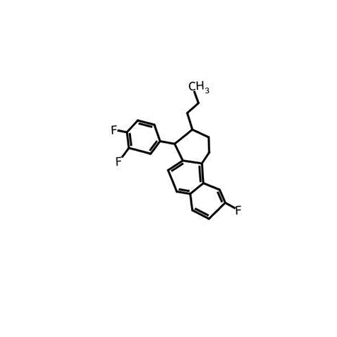 CCCC1CCc2c(ccc3ccc(F)cc23)C1c1ccc(F)c(F)c1